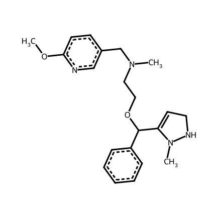 COc1ccc(CN(C)CCOC(C2=CCNN2C)c2ccccc2)cn1